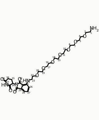 NCCOCCOCCOCCOCCOCCOCCOCCNc1cccc2c1C(=O)N(C1CCC(=O)NC1=O)C2=O